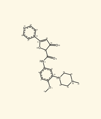 COc1ccc(NC(=O)C2OC(c3ccncc3)=CC2=O)cc1N1CCN(C)CC1